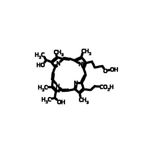 CC1=C(CCC(=O)O)c2cc3[nH]c(cc4nc(cc5[nH]c(cc1n2)c(C(C)O)c5C)C(C(C)O)=C4C)c(C)c3CCCOO